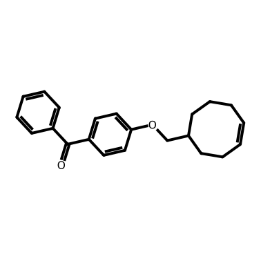 O=C(c1ccccc1)c1ccc(OCC2CC/C=C\CCC2)cc1